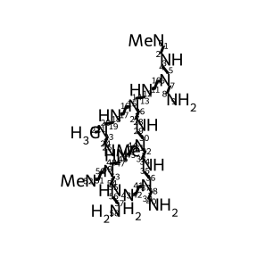 CNCCNCCN(CCN)CCNCCN(CCNCCN(C)CCNC)CCNCCN(CCNCCN(CCN)CCN)CCNCCN(CCNC)CCNCCN